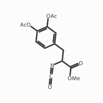 COC(=O)C(Cc1ccc(OC(C)=O)c(OC(C)=O)c1)N=C=O